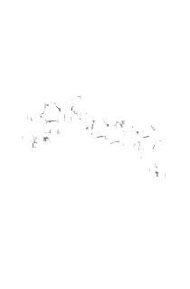 CCOCc1cnc2c(c1)OCCN2c1ccc2cnc(CNC(=O)c3cc(F)c4c(c3)S(=O)(=O)[C@@H](F)CCO4)cc2n1